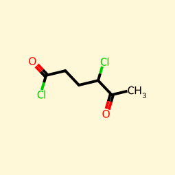 CC(=O)C(Cl)CCC(=O)Cl